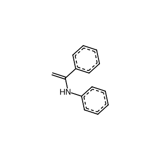 C=C(Nc1ccccc1)c1ccccc1